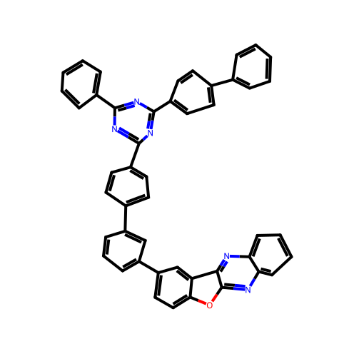 c1ccc(-c2ccc(-c3nc(-c4ccccc4)nc(-c4ccc(-c5cccc(-c6ccc7oc8nc9ccccc9nc8c7c6)c5)cc4)n3)cc2)cc1